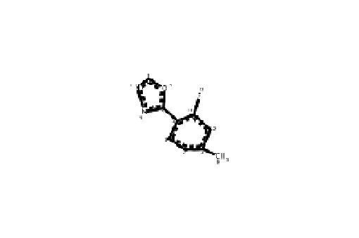 Cc1ccc(-c2nnco2)c(F)c1